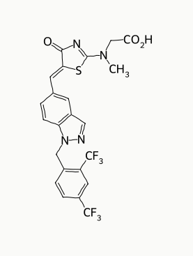 CN(CC(=O)O)C1=NC(=O)C(=Cc2ccc3c(cnn3Cc3ccc(C(F)(F)F)cc3C(F)(F)F)c2)S1